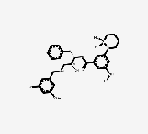 CCNc1cc(C(=O)N[C@@H](Cc2ccccc2)[C@H](O)CNCc2cc(Br)cc(OC)c2)cc(N2CCCCS2(O)O)c1